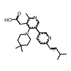 Cc1ncc(-c2ccc(/C=C/C(C)C)nc2)c(N2CCC(C)(C)CC2)c1CC(=O)O